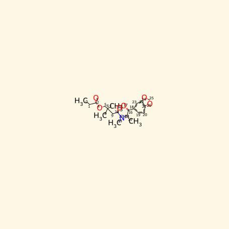 CCC(=O)OCC(C)(C)CC(=O)N(C)[C@@H](C)C(=O)c1ccc2c(c1)OCO2